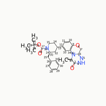 C[C@@H]1C(=O)NN=C2COc3ccc(C4CCN(C(=O)OC(C)(C)C)[C@H](Cc5ccccc5)C4)cc3N21